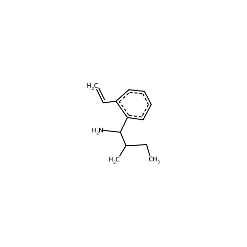 C=Cc1ccccc1C(N)C(C)CC